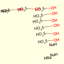 O=S(=O)(O)O.O=S(=O)(O)O.O=S(=O)(O)O.O=S(=O)(O)O.O=S(=O)(O)O.O=S(=O)(O)O.O=S(=O)(O)O.O=S(=O)(O)O.[NaH].[NaH].[NaH].[NaH]